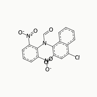 O=CN(c1c([N+](=O)[O-])cccc1[N+](=O)[O-])c1c(Cl)cc(Cl)c2ccccc12